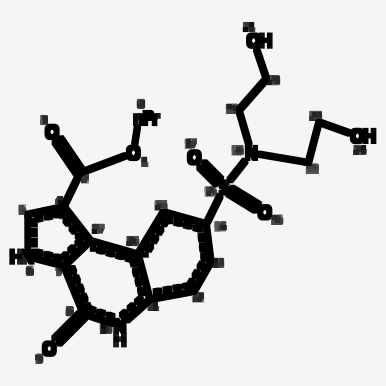 CCCOC(=O)c1c[nH]c2c(=O)[nH]c3ccc(S(=O)(=O)N(CCO)CCO)cc3c12